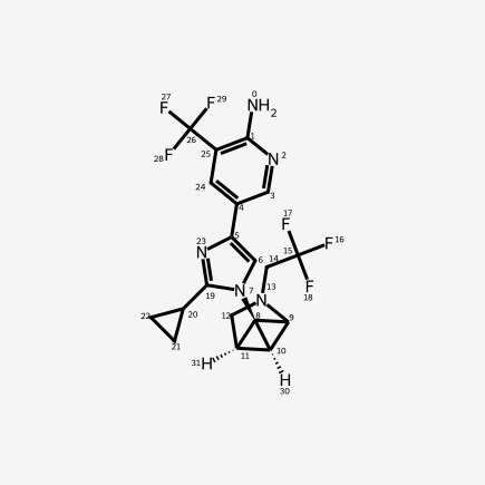 Nc1ncc(-c2cn([C@@]34C5[C@H]3[C@H]4CN5CC(F)(F)F)c(C3CC3)n2)cc1C(F)(F)F